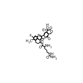 CC[C@@]1(O)C(=O)OCc2c1cc1n(c2=O)Cc2c-1nc1cc(F)c(C)c3c1c2[C@@H](NC(=O)[C@@H](N)CCCNC(N)=O)CC3